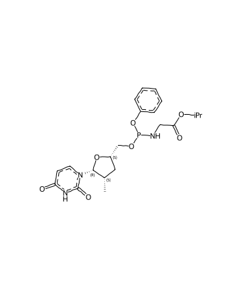 CC(C)OC(=O)CNP(OC[C@@H]1C[C@H](C)[C@H](n2ccc(=O)[nH]c2=O)O1)Oc1ccccc1